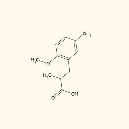 COc1ccc(N)cc1CC(C)C(=O)O